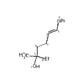 CCC/C=C/CCC(C)(O)CC